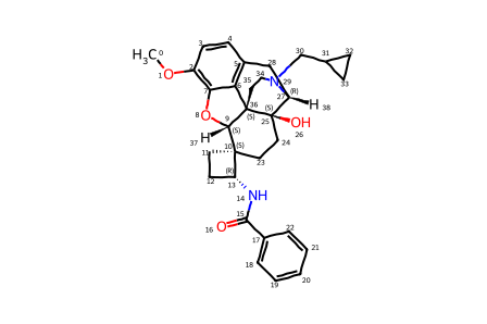 COc1ccc2c3c1O[C@H]1[C@@]4(CC[C@H]4NC(=O)c4ccccc4)CC[C@@]4(O)[C@@H](C2)N(CC2CC2)CC[C@]314